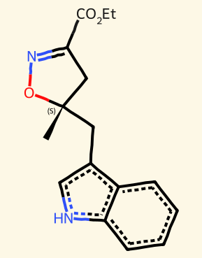 CCOC(=O)C1=NO[C@@](C)(Cc2c[nH]c3ccccc23)C1